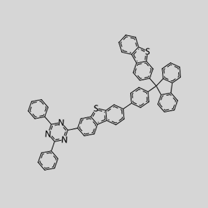 c1ccc(-c2nc(-c3ccccc3)nc(-c3ccc4c(c3)sc3cc(-c5ccc(C6(c7ccc8c(c7)sc7ccccc78)c7ccccc7-c7ccccc76)cc5)ccc34)n2)cc1